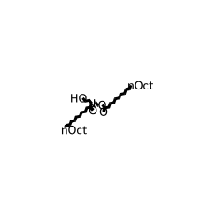 CCCCCCCCC=CCCCCCCCC(=O)OCCN(CCO)C(=O)CCCCCCCC=CCCCCCCCC